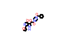 COc1cnc(-c2ccco2)c2c1C(C(=O)C(=O)N1CCN(C(=O)c3ccccc3)CC1)CN2